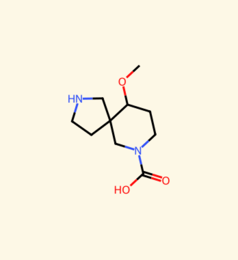 COC1CCN(C(=O)O)CC12CCNC2